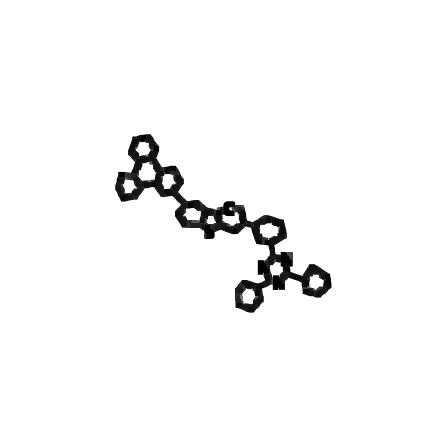 c1ccc(-c2nc(-c3ccccc3)nc(-c3cccc(-c4ccc5c(c4)sc4ccc(-c6ccc7c8ccccc8c8ccccc8c7c6)cc45)c3)n2)cc1